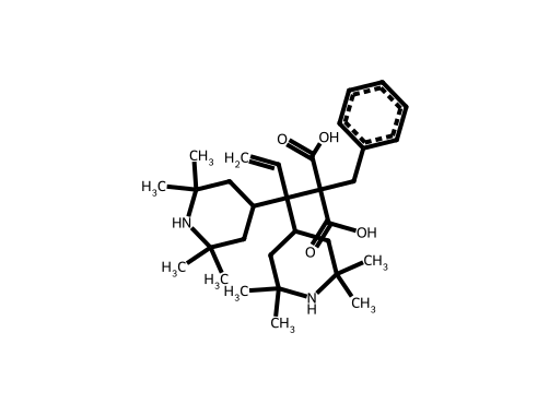 C=CC(C1CC(C)(C)NC(C)(C)C1)(C1CC(C)(C)NC(C)(C)C1)C(Cc1ccccc1)(C(=O)O)C(=O)O